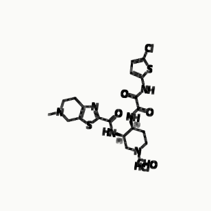 CN1CCc2nc(C(=O)N[C@@H]3CN(C=O)CC[C@@H]3NC(=O)C(=O)Nc3ccc(Cl)s3)sc2C1.Cl